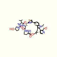 CCn1c(-c2cccnc2[C@H](C)OC)c2c3cc(ccc31)-c1csc(n1)C[C@H](NC(=O)C(C(C)C)N(C)C(=O)N1CC[C@H](O)C1)C(=O)N1CCC[C@H](N1)C(=O)OCC(C)(C)C2